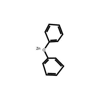 [Zn].c1ccc(Oc2ccccc2)cc1